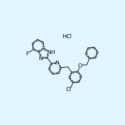 Cl.Fc1cccc2[nH]c(-c3cccc(Cc4cc(Cl)ccc4OCc4ccccc4)n3)nc12